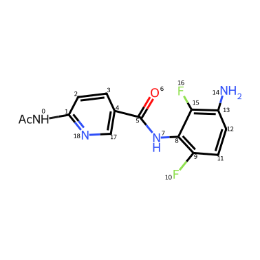 CC(=O)Nc1ccc(C(=O)Nc2c(F)ccc(N)c2F)cn1